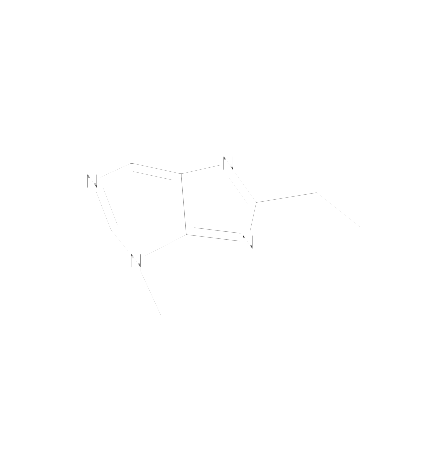 CCc1nc2cncn(C)c-2n1